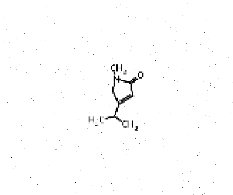 CC(C)C1=CC(=O)N(C)C1